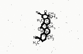 CC1(C)C(=O)C(C#N)=C[C@]2(C)C3=CC(=O)[C@@H]4[C@@H]5C[C@@](C)(C#N)CC[C@]5(C)CC[C@@]4(C)[C@]3(C)CC[C@@H]12